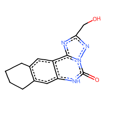 O=c1[nH]c2cc3c(cc2c2nc(CO)nn12)CCCC3